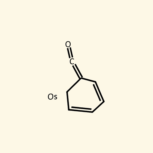 O=C=C1C=CC=CC1.[Os]